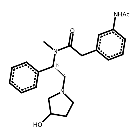 CC(=O)Nc1cccc(CC(=O)N(C)[C@H](CN2CCC(O)C2)c2ccccc2)c1